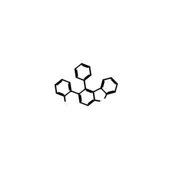 Nc1ccccc1-c1ccc2oc3ccccc3c2c1-c1ccccc1